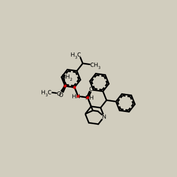 COc1ccc(C(C)C)cc1CNC1C2CCN(CC2C(=O)NCC(N)=O)C1C(c1ccccc1)c1ccccc1